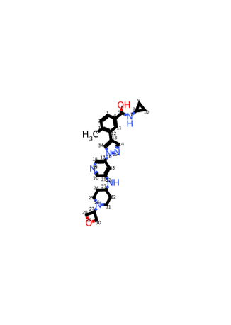 Cc1ccc(C(O)NC2CC2)cc1-c1cnn(-c2cncc(NC3CCN(C4COC4)CC3)c2)c1